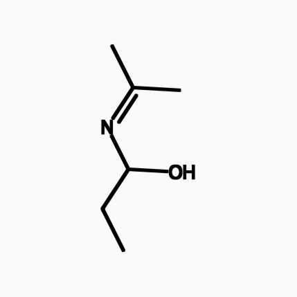 CCC(O)N=C(C)C